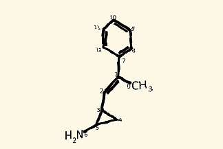 C/C(=C\C1CC1N)c1ccccc1